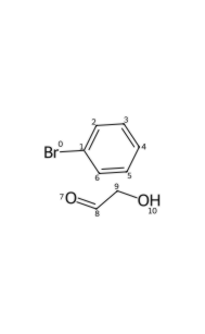 Brc1ccccc1.O=CCO